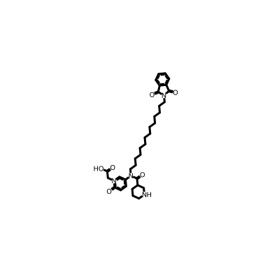 O=C(O)Cn1cc(N(CCCCCCCCCCCCCCN2C(=O)c3ccccc3C2=O)C(=O)C2CCCNC2)ccc1=O